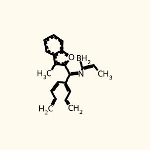 BC(=C/C)/N=C(C(/C=C\C=C)=C/C=C)\c1oc2ccccc2c1C